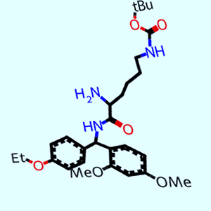 CCOc1ccc(C(NC(=O)C(N)CCCCNC(=O)OC(C)(C)C)c2ccc(OC)cc2OC)cc1